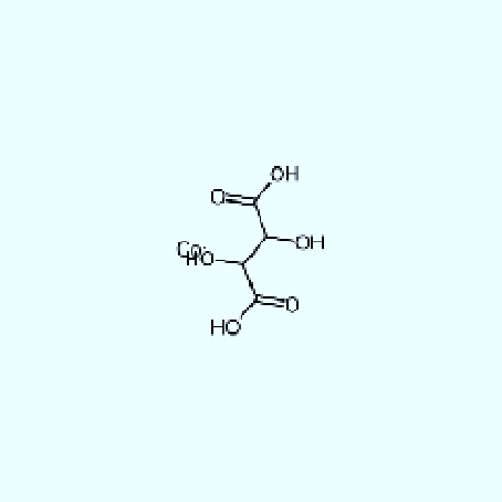 O=C(O)C(O)C(O)C(=O)O.[Co]